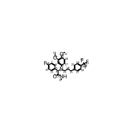 CNC(=O)[C@@H](c1ccc(F)cc1)N(CCCc1ccc(C(F)(F)F)cc1)c1ccc(OC)c(OC)c1